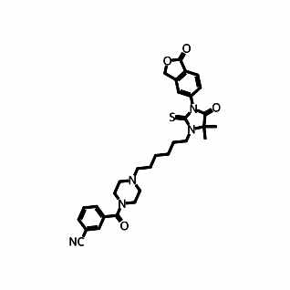 CC1(C)C(=O)N(c2ccc3c(c2)COC3=O)C(=S)N1CCCCCCN1CCN(C(=O)c2cccc(C#N)c2)CC1